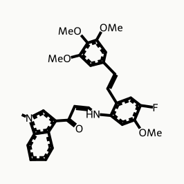 COc1cc(N/C=C\C(=O)c2cn(C)c3ccccc23)c(/C=C/c2cc(OC)c(OC)c(OC)c2)cc1F